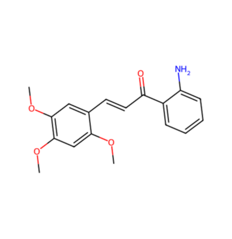 COc1cc(OC)c(OC)cc1C=CC(=O)c1ccccc1N